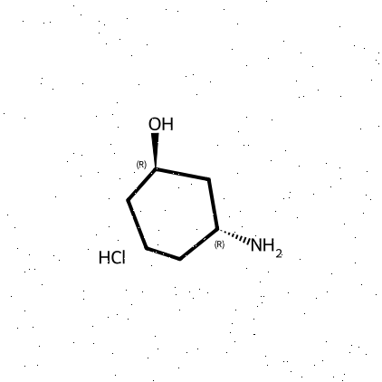 Cl.N[C@@H]1CCC[C@@H](O)C1